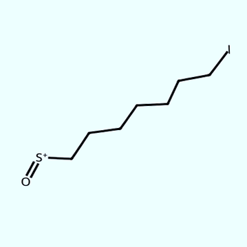 O=[S+]CCCCCCCI